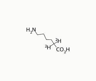 [2H]C([2H])(CCCCN)C(=O)O